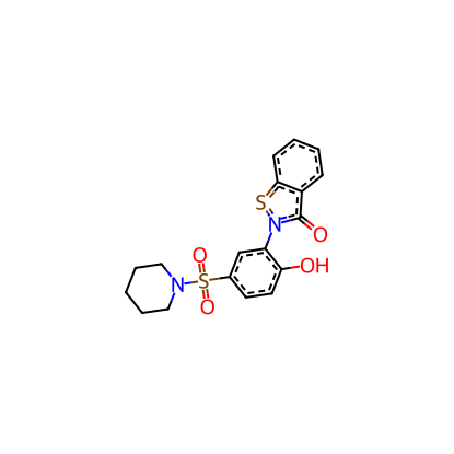 O=c1c2ccccc2sn1-c1cc(S(=O)(=O)N2CCCCC2)ccc1O